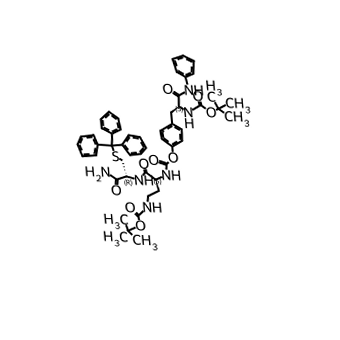 CC(C)(C)OC(=O)NCC[C@H](NC(=O)Oc1ccc(C[C@H](NC(=O)OC(C)(C)C)C(=O)Nc2ccccc2)cc1)C(=O)N[C@@H](CSC(c1ccccc1)(c1ccccc1)c1ccccc1)C(N)=O